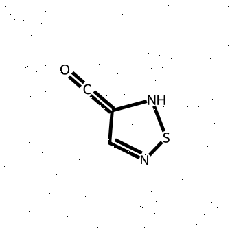 O=C=C1C=NSN1